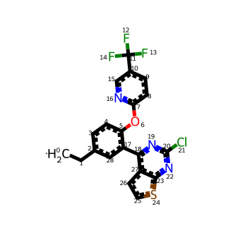 [CH2]Cc1ccc(Oc2ccc(C(F)(F)F)cn2)c(-c2nc(Cl)nc3sccc23)c1